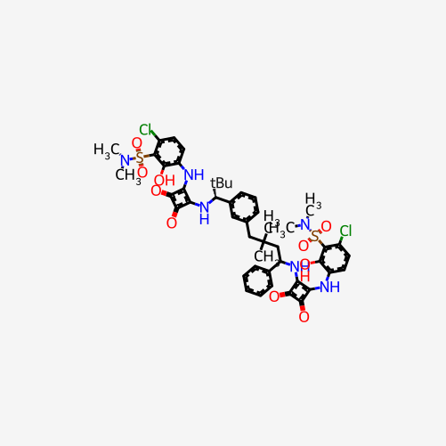 CN(C)S(=O)(=O)c1c(Cl)ccc(Nc2c(NC(CC(C)(C)Cc3cccc([C@@H](Nc4c(Nc5ccc(Cl)c(S(=O)(=O)N(C)C)c5O)c(=O)c4=O)C(C)(C)C)c3)c3ccccc3)c(=O)c2=O)c1O